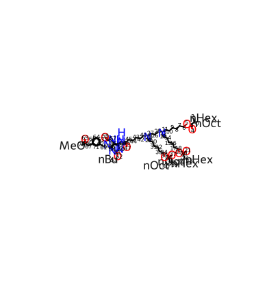 CCCCCCCCC(CCCCCC)C(=O)OCCCCCCN(CCCCCCOC(=O)C(CCCCCC)CCCCCCCC)CCCN(CCCCCCOC(=O)C(CCCCCC)CCCCCCCC)CCCCCC(=O)Nc1nc(OCCCC)nc2c1[nH]c(=O)n2Cc1cccc(CC(=O)OC)c1